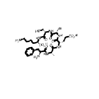 CC(C)[C@H](NC(=O)[C@H](CCC(=O)O)NC(=O)[C@H](C)NC(=O)[C@@H](N)Cc1ccccc1)C(=O)N[C@@H](CO)C(=O)N[C@@H](CCCCN)C(=O)O